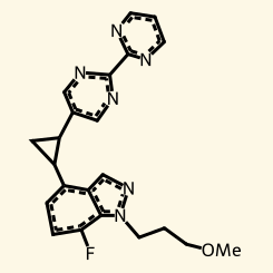 COCCCn1ncc2c(C3CC3c3cnc(-c4ncccn4)nc3)ccc(F)c21